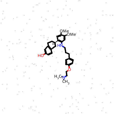 COc1cc(NCCCc2ccc(OCCN(C)C)cc2)c([C@@H]2CCc3cc(O)ccc3C2)cc1OC